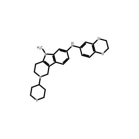 Cn1c2c(c3ccc(Nc4ccc5c(c4)OCCO5)cc31)CN(C1CCSCC1)CC2